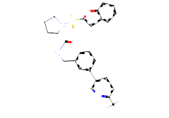 C[C@H](NC(=O)[C@@H]1CCCN1S(=O)(=O)c1cc2ccccc2o1)c1cccc(-c2ccc(C(F)(F)F)nc2)c1